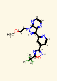 COCCn1nc(-c2cc(-c3noc(C(F)(F)F)n3)ccn2)c2nccnc21